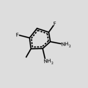 Cc1c(F)cc(F)c(N)c1N